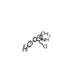 CCOC(=N)C(CCCCl)c1cc(N2CCC(C(F)(F)F)CC2)ccc1Cl